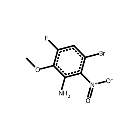 COc1c(F)cc(Br)c([N+](=O)[O-])c1N